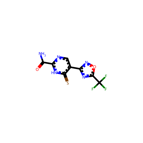 NC(=O)c1ncc(-c2noc(C(F)(F)F)n2)c(=S)[nH]1